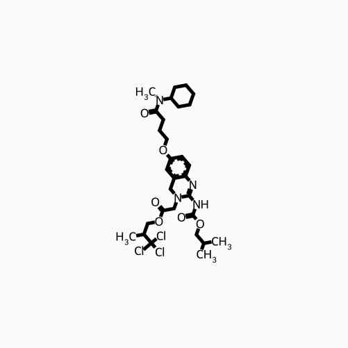 CC(C)COC(=O)NC1=Nc2ccc(OCCCC(=O)N(C)C3CCCCC3)cc2CN1CC(=O)OCC(C)C(Cl)(Cl)Cl